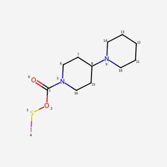 O=C(OSI)N1CCC(N2CCCCC2)CC1